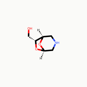 OC[C@H]1O[C@@H]2CNC[C@H]1O2